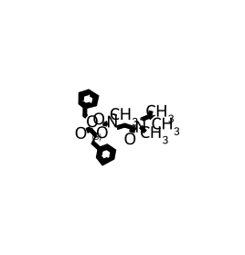 CC(C)CN(C)C(=O)CCN(C)C(=O)O[C@@H](Cc1ccccc1)C(=O)OCc1ccccc1